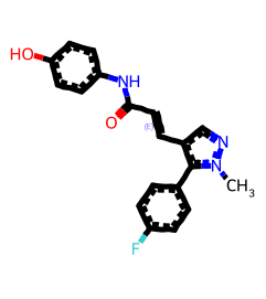 Cn1ncc(/C=C/C(=O)Nc2ccc(O)cc2)c1-c1ccc(F)cc1